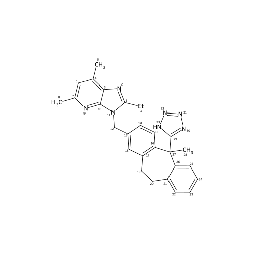 CCc1nc2c(C)cc(C)nc2n1Cc1ccc2c(c1)CCc1ccccc1C2(C)c1nnn[nH]1